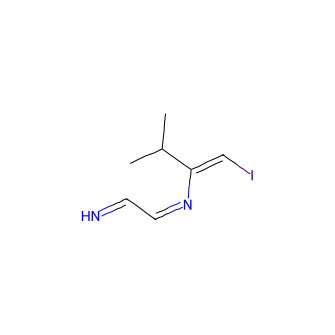 CC(C)C(=C/I)/N=C\C=N